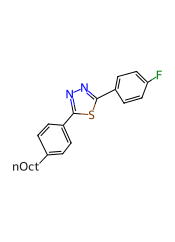 CCCCCCCCc1ccc(-c2nnc(-c3ccc(F)cc3)s2)cc1